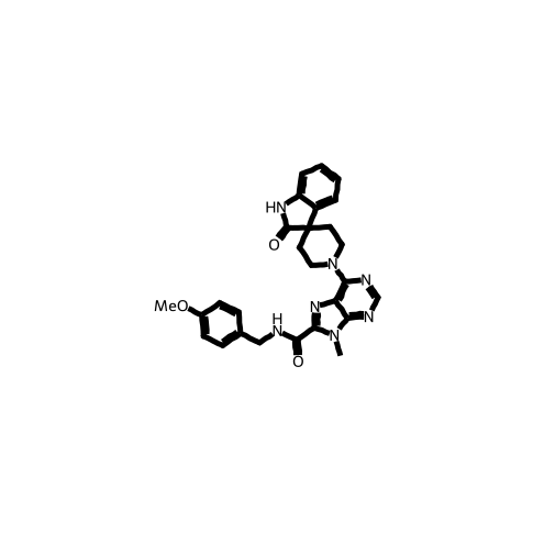 COc1ccc(CNC(=O)c2nc3c(N4CCC5(CC4)C(=O)Nc4ccccc45)ncnc3n2C)cc1